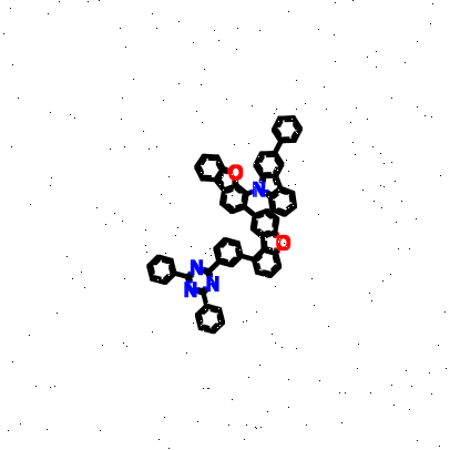 c1ccc(-c2ccc3c(c2)c2ccccc2n3-c2c(-c3ccc4oc5cccc(-c6cccc(-c7nc(-c8ccccc8)nc(-c8ccccc8)n7)c6)c5c4c3)ccc3c2oc2ccccc23)cc1